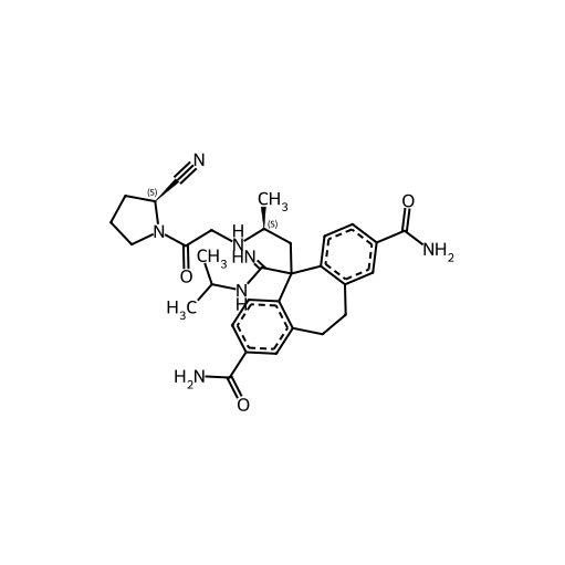 CC(C)NC(=N)C1(C[C@H](C)NCC(=O)N2CCC[C@H]2C#N)c2ccc(C(N)=O)cc2CCc2cc(C(N)=O)ccc21